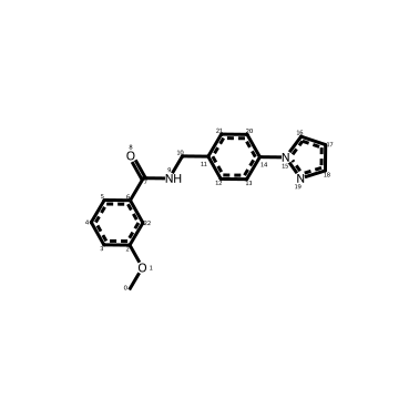 COc1cccc(C(=O)NCc2ccc(-n3cccn3)cc2)c1